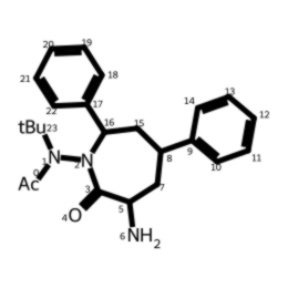 CC(=O)N(N1C(=O)C(N)CC(c2ccccc2)CC1c1ccccc1)C(C)(C)C